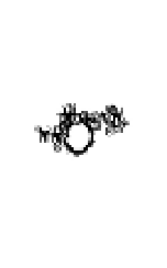 C=CCNC(=O)C(=O)[C@@H]1CCCCCCCCC[C@H](NC(=O)N[C@H](CN2C(=O)CN(C)CC2=O)C(C)(C)C)C(=O)N2C[C@H]3[C@@H]([C@H]2C(=O)N1)C3(C)C